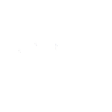 O=C(NCCCN1CCC(N2CCCCC2)CC1)c1ccc(OCc2ccc(F)cc2)cc1